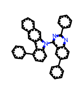 c1ccc(-c2ccc3nc(-c4ccccc4)nc(-n4c5cc6ccccc6cc5c5c(-c6ccccc6)cccc54)c3c2)cc1